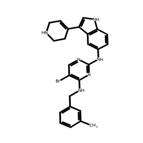 Cc1cccc(CNc2nc(Nc3ccc4[nH]cc(C5=CCNCC5)c4c3)ncc2Br)c1